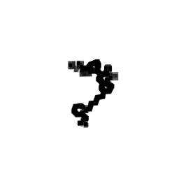 CN(C)CC1CCCCN1CCCCCc1ccc2[nH]c(=O)c(-c3cccc(C(=N)N)c3)cc2c1